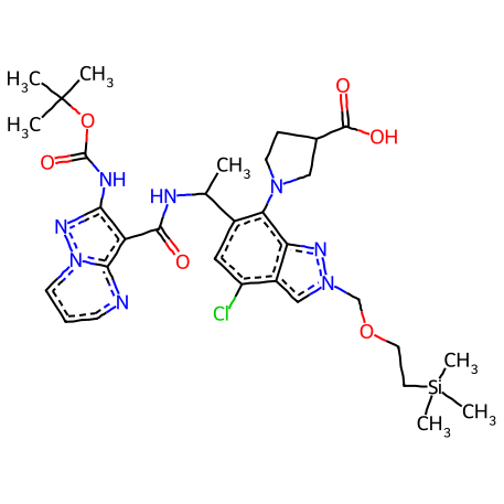 CC(NC(=O)c1c(NC(=O)OC(C)(C)C)nn2cccnc12)c1cc(Cl)c2cn(COCC[Si](C)(C)C)nc2c1N1CCC(C(=O)O)C1